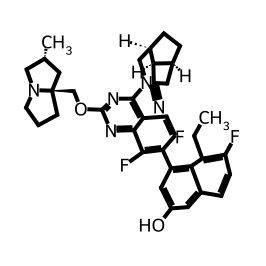 CCc1c(F)ccc2cc(O)cc(-c3c(F)cc4c(N5C[C@H]6CC[C@@H](C5)[C@H]6C#N)nc(OC[C@@]56CCCN5C[C@H](C)C6)nc4c3F)c12